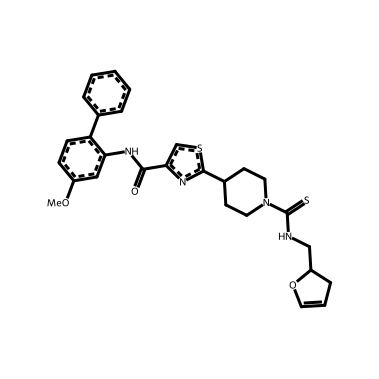 COc1ccc(-c2ccccc2)c(NC(=O)c2csc(C3CCN(C(=S)NCC4CC=CO4)CC3)n2)c1